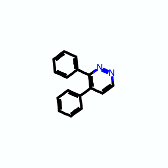 c1ccc(-c2ccnnc2-c2ccccc2)cc1